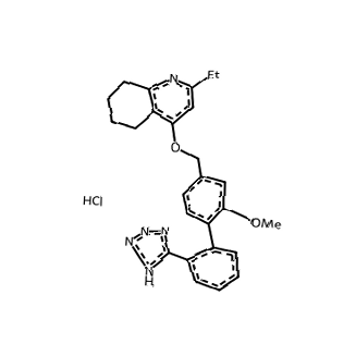 CCc1cc(OCc2ccc(-c3ccccc3-c3nnn[nH]3)c(OC)c2)c2c(n1)CCCC2.Cl